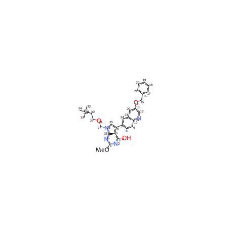 COc1nc(O)c2c(-c3ccc4ncc(OCc5ccccc5)cc4c3)cn(COCC[Si](C)(C)C)c2n1